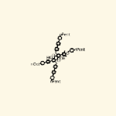 CCCCCCCCC1CCC(c2ccc(-c3cc(Sc4ccc(-c5ccc(C6CCC(CCCCC)CC6)cc5)cc4)c4c(c3O)C(=O)c3c(Sc5ccc(-c6ccc(C7CCC(CCCCC)CC7)cc6)cc5)cc(-c5cc(C)c(OCC6CCC(CCCCC)CC6)c(C)c5)c(O)c3C4=O)cc2)CC1